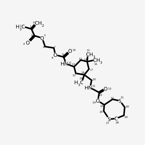 C=C(C)C(=O)OCCOC(=O)NC1CC(C)(C)CC(C)(CNC(=O)OC2CSCCCSC2)C1